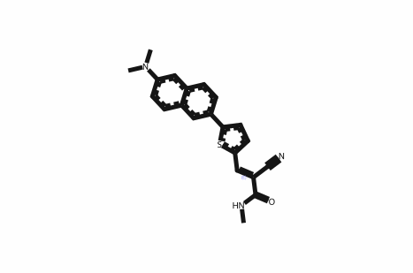 CNC(=O)/C(C#N)=C/c1ccc(-c2ccc3cc(N(C)C)ccc3c2)s1